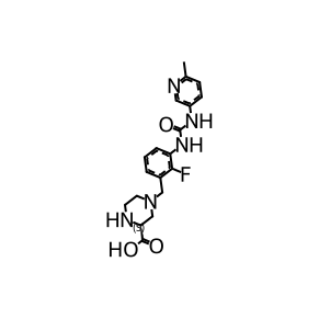 Cc1ccc(NC(=O)Nc2cccc(CN3CCN[C@H](C(=O)O)C3)c2F)cn1